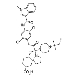 Cn1cc(C(=O)Nc2cc(Cl)c(CC(=O)C(OC3CCC(C(=O)O)CC3)(N3CCCC3)N3CCN(C(C)(C)CF)CC3)cc2Cl)c2ccccc21